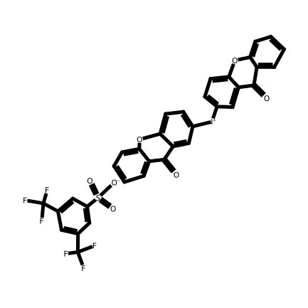 O=S(=O)([O-])c1cc(C(F)(F)F)cc(C(F)(F)F)c1.O=c1c2ccccc2oc2ccc([I+]c3ccc4oc5ccccc5c(=O)c4c3)cc12